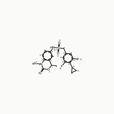 CCCN1C(=O)OC(C)c2cc(NS(=O)(=O)Cc3cc(F)c(C4CC4)c(F)c3)ccc21